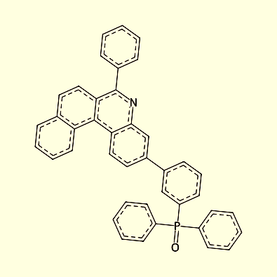 O=P(c1ccccc1)(c1ccccc1)c1cccc(-c2ccc3c(c2)nc(-c2ccccc2)c2ccc4ccccc4c23)c1